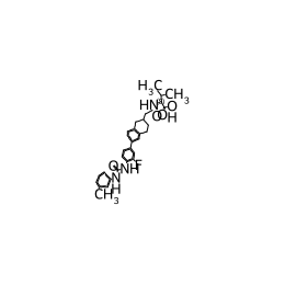 CCC(C)[C@H](NC(=O)CC1CCc2cc(-c3ccc(NC(=O)Nc4cccc(C)c4)c(F)c3)ccc2C1)C(=O)O